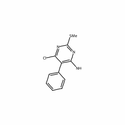 CSc1nc([NH])c(-c2ccccc2)c(Cl)n1